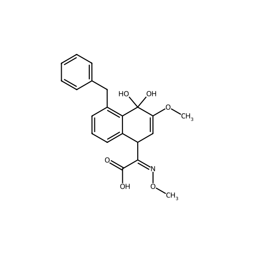 CO/N=C(\C(=O)O)C1C=C(OC)C(O)(O)c2c(Cc3ccccc3)cccc21